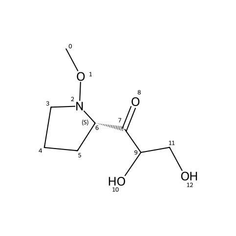 CON1CCC[C@H]1C(=O)C(O)CO